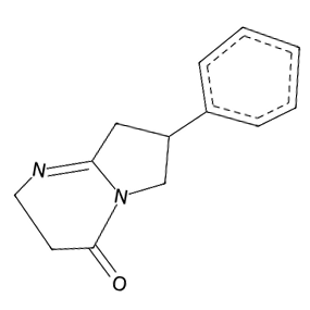 O=C1CCN=C2CC(c3ccccc3)CN12